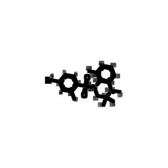 Cc1cc(Br)ccc1S(=O)(=O)N1CC(C)(C)N(C)c2cccc(C)c21